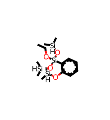 CCO[Si](O[SiH](C)C)(O[SiH](C)C)c1ccccc1O[SiH](C)C